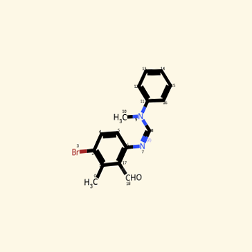 Cc1c(Br)ccc(/N=C\N(C)c2ccccc2)c1C=O